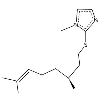 CC(C)=CCC[C@H](C)CCSc1nccn1C